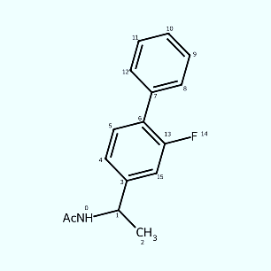 CC(=O)NC(C)c1ccc(-c2ccccc2)c(F)c1